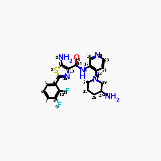 Nc1sc(-c2cccc(F)c2F)nc1C(=O)Nc1cnccc1N1CCCC(N)C1